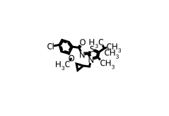 COc1cc(Cl)ccc1C(=O)/N=c1\sc(C(C)(C)C)c(C)n1CC1CC1